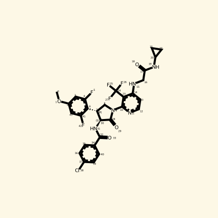 COc1cc(F)c([C@@H]2CN(c3nccc(NCC(=O)NC4CC4)c3C(F)(F)F)C(=O)[C@H]2NC(=O)c2ccc(Cl)cc2)c(F)c1